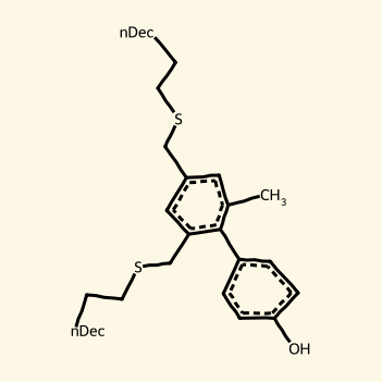 CCCCCCCCCCCCSCc1cc(C)c(-c2ccc(O)cc2)c(CSCCCCCCCCCCCC)c1